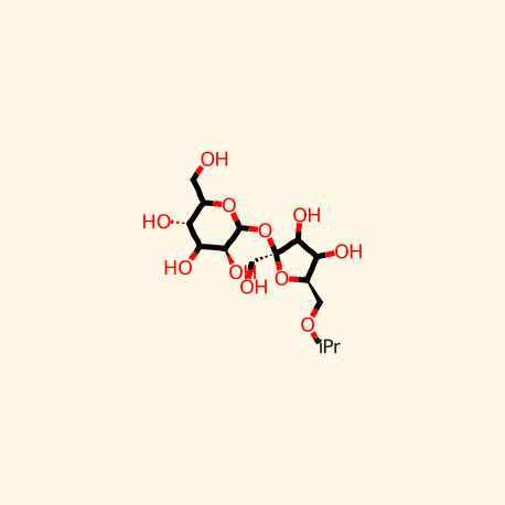 CC(C)OC[C@H]1O[C@@](CO)(OC2OC(CO)[C@@H](O)C(O)[C@@H]2O)C(O)C1O